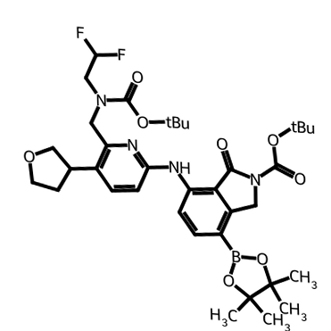 CC(C)(C)OC(=O)N(Cc1nc(Nc2ccc(B3OC(C)(C)C(C)(C)O3)c3c2C(=O)N(C(=O)OC(C)(C)C)C3)ccc1C1CCOC1)CC(F)F